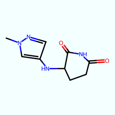 Cn1cc(NC2CCC(=O)NC2=O)cn1